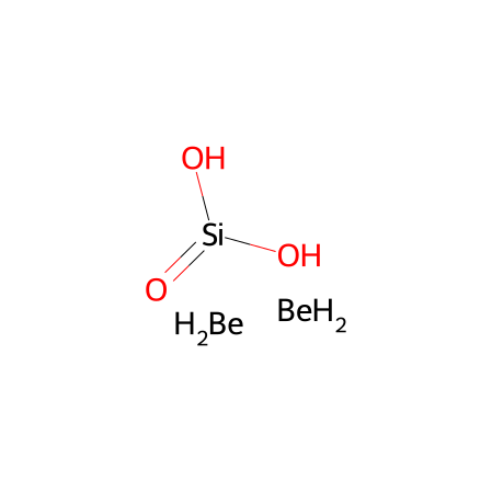 O=[Si](O)O.[BeH2].[BeH2]